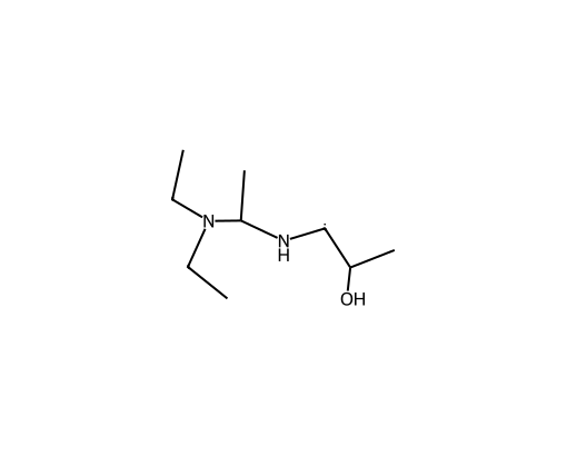 CCN(CC)C(C)N[CH]C(C)O